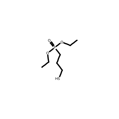 CCOP(=O)(CCCS)OCC